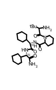 CC(C)(C)C(N)C(=O)N1CCCCC1C(=O)N[C@H](C(=O)N[C@H](C(N)=O)C1CCCCC1)C1CCCCC1